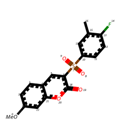 COc1ccc2cc(S(=O)(=O)c3ccc(F)c(C)c3)c(=O)oc2c1